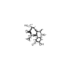 CC1c2cc(C(=O)O)c(=O)n(C3CC3)c2-c2cc(Cl)c(O)cc2[S+]1[O-]